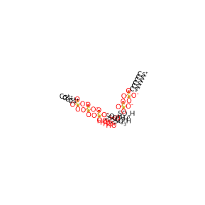 O=S(=O)(O)O.O=S(=O)(O)O.O=S(=O)(O)O.O=S(=O)(O)O.O=S(=O)(O)O.O=S(=O)([O-])[O-].O=S(=O)([O-])[O-].O=S(=O)([O-])[O-].O=S(=O)([O-])[O-].O=S(=O)([O-])[O-].[Cs+].[Cs+].[Cs+].[Cs+].[Cs+].[Cs+].[Cs+].[Cs+].[Cs+].[Cs+]